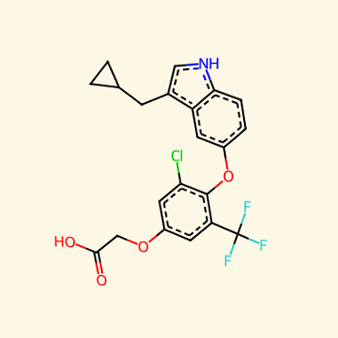 O=C(O)COc1cc(Cl)c(Oc2ccc3[nH]cc(CC4CC4)c3c2)c(C(F)(F)F)c1